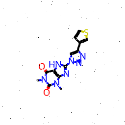 Cn1c(=O)c2[nH]c(-n3cc(-c4ccsc4)nn3)nc2n(C)c1=O